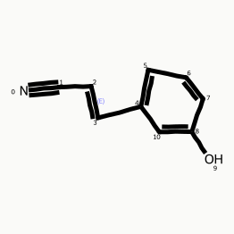 N#C/C=C/c1cccc(O)c1